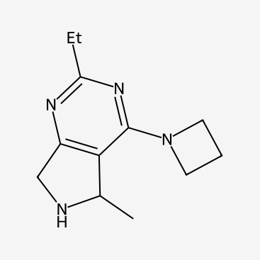 CCc1nc2c(c(N3CCC3)n1)C(C)NC2